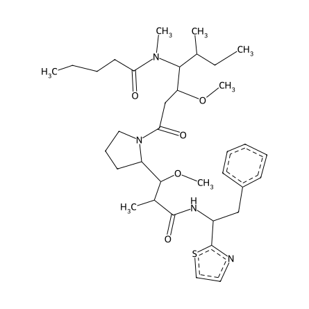 CCCCC(=O)N(C)C(C(C)CC)C(CC(=O)N1CCCC1C(OC)C(C)C(=O)NC(Cc1ccccc1)c1nccs1)OC